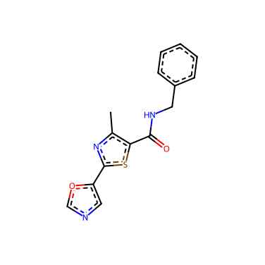 Cc1nc(-c2cnco2)sc1C(=O)NCc1ccccc1